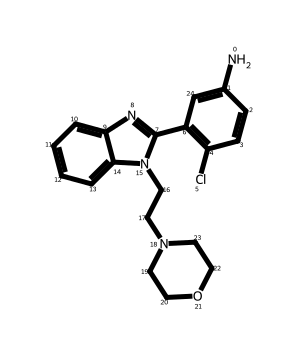 Nc1ccc(Cl)c(-c2nc3ccccc3n2CCN2CCOCC2)c1